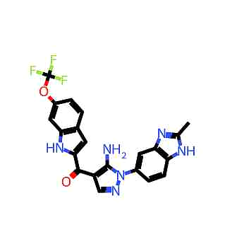 Cc1nc2cc(-n3ncc(C(=O)c4cc5ccc(OC(F)(F)F)cc5[nH]4)c3N)ccc2[nH]1